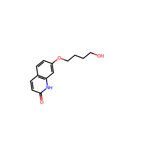 O=c1ccc2ccc(OCCCCO)cc2[nH]1